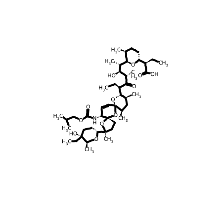 CC[C@@H](C(=O)[C@@H](C)[C@@H](O)[C@H](C)[C@@H]1O[C@@H]([C@@H](CC)C(=O)O)CC[C@@H]1C)[C@H]1O[C@]2(C=C[C@@H](NC(=O)OCC(C)C)[C@]3(CC[C@@](C)([C@H]4CC[C@](O)(CC)[C@H](C)O4)O3)O2)[C@H](C)C[C@@H]1C